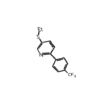 CCSc1ccc(-c2ccc(C(F)(F)F)cc2)nc1